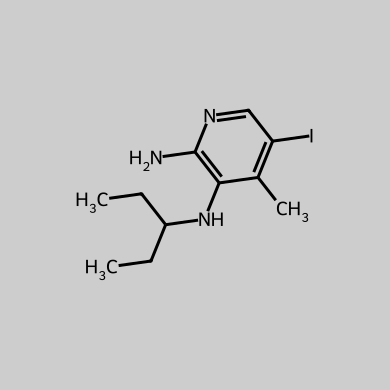 CCC(CC)Nc1c(N)ncc(I)c1C